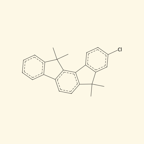 CC1(C)c2cc(Cl)ccc2-c2c1ccc1c2C(C)(C)c2ccccc2-1